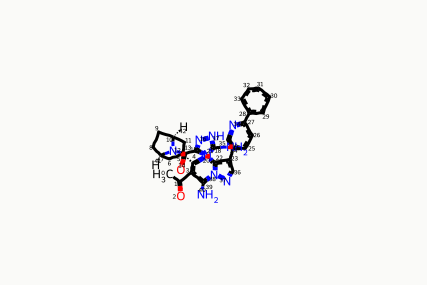 CC(=O)c1c([C@@H]2C[C@H]3CC[C@@H](C2)N3C(=O)c2n[nH]c(N)n2)nc2c(-c3ccc(-c4ccccc4)nc3)cnn2c1N